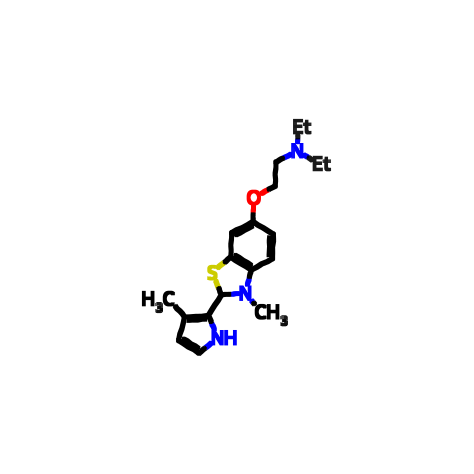 CCN(CC)CCOc1ccc2c(c1)SC(c1[nH]ccc1C)N2C